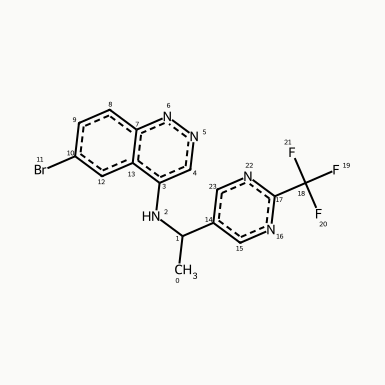 CC(Nc1cnnc2ccc(Br)cc12)c1cnc(C(F)(F)F)nc1